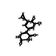 CCn1nc(-c2c[nH]c(=O)[nH]c2=O)cc(C2CC2)c1=O